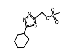 CS(=O)(=O)OCc1nnc(C2CCCCC2)s1